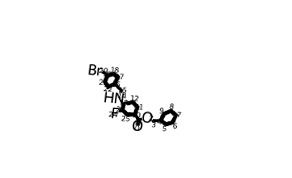 O=C(OCc1ccccc1)c1ccc(NCc2ccc(Br)cc2)c(F)c1